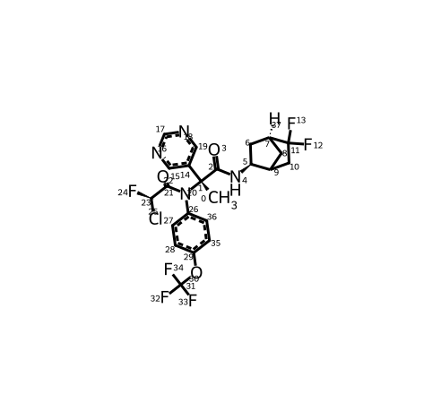 C[C@](C(=O)N[C@H]1C[C@@H]2CC1CC2(F)F)(c1cncnc1)N(C(=O)[C@H](F)Cl)c1ccc(OC(F)(F)F)cc1